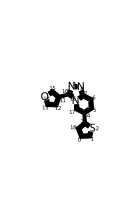 c1csc(-c2ccc3nnc(-c4ccoc4)n3c2)c1